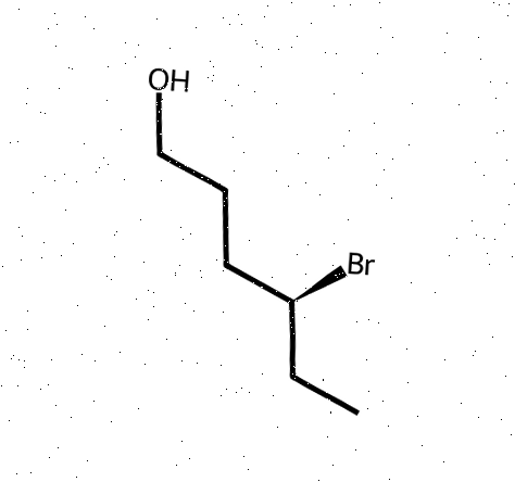 CC[C@H](Br)CCCO